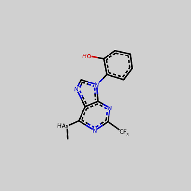 C[AsH]c1nc(C(F)(F)F)nc2c1ncn2-c1ccccc1O